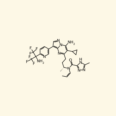 C/C=C\N(C(=O)c1nnc(C)[nH]1)[C@H](C)CCc1nc2c(-c3ccc(C(N)(C(F)(F)F)C(F)(F)F)nc3)cnn2c(N)c1C1CC1